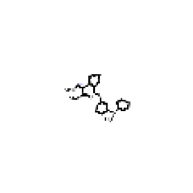 CO/C=C(\C(=O)OC)c1ccc(Cl)cc1COc1cccc(N(C)c2ccccc2)c1